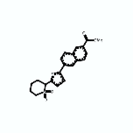 COC(=O)c1ccc2cc(-c3ccc([C]4CCCCS4(=O)=O)s3)ccc2c1